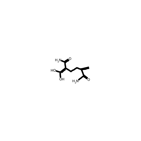 C=C(CCC(C(N)=O)=C(O)O)C(N)=O